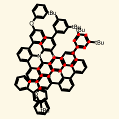 CC(C)(C)c1cc(-c2ccc3c(c2)B2c4cc(-c5cc(C(C)(C)C)cc(C(C)(C)C)c5)ccc4N(c4c(-c5cccc(Oc6ccccc6)c5)cccc4-c4cccc(Oc5ccccc5)c4)c4cc(-n5c6ccccc6c6cc(C(C)(C)C)ccc65)cc(c42)N3c2c(-c3cccc(Oc4ccccc4)c3)cccc2-c2cccc(Oc3ccccc3)c2)cc(C(C)(C)C)c1